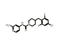 Cc1cc(NC(=O)N2CCC(Cc3c(F)cc(Cl)cc3F)CC2)ccn1